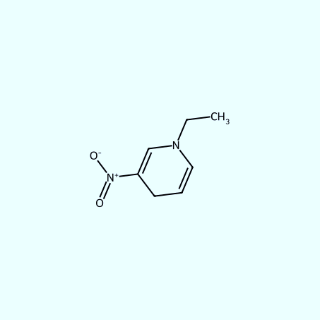 CCN1C=CCC([N+](=O)[O-])=C1